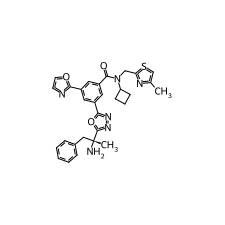 Cc1csc(CN(C(=O)c2cc(-c3ncco3)cc(-c3nnc([C@](C)(N)Cc4ccccc4)o3)c2)C2CCC2)n1